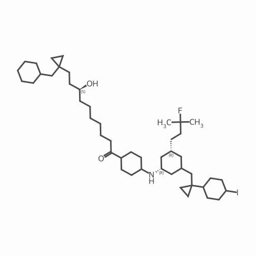 CC(C)(F)CC[C@@H]1CC(CC2(C3CCC(I)CC3)CC2)C[C@H](NC2CCC(C(=O)CCCCCC[C@H](O)CCC3(CC4CCCCC4)CC3)CC2)C1